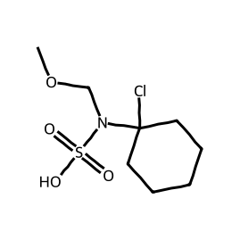 COCN(C1(Cl)CCCCC1)S(=O)(=O)O